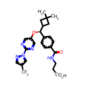 CC1(C)CC([C@H](Oc2cnc(-n3cc(C(F)(F)F)cn3)nc2)c2ccc(C(=O)NCCC(=O)O)cc2)C1